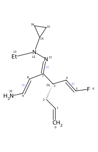 C=CC[C@@H](/C=C/F)C(/C=C/N)=N/N(CC)C1CC1